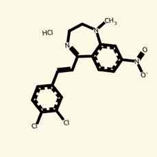 CN1CCN=C(C=Cc2ccc(Cl)c(Cl)c2)c2ccc([N+](=O)[O-])cc21.Cl